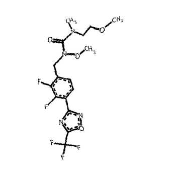 COCCN(C)C(=O)N(Cc1ccc(-c2noc(C(F)(F)F)n2)c(F)c1F)OC